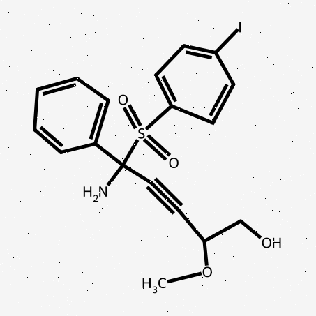 COC(C#CC(N)(c1ccccc1)S(=O)(=O)c1ccc(I)cc1)CO